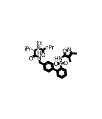 CCCC(=O)N(CC)[C@H](C(=O)NCc1ccc(-c2ccccc2S(=O)(=O)Nc2onc(C)c2C)cc1)C(C)C